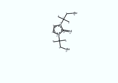 CC(C)(C)CC(C)(C)n1ccn(C(C)(C)CC(C)(C)C)[c]1=[Pd]